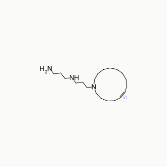 NCCCNCCCN1CCCC/C=C\CCCCCCCC1